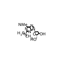 CNc1nc(N(C)C)nc2c1ncn2[C@@H]1C[C@@H](O)[C@H](CO)O1